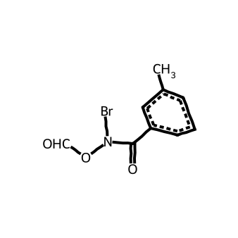 Cc1cccc(C(=O)N(Br)OC=O)c1